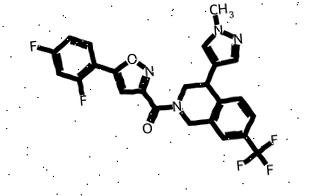 Cn1cc(C2CN(C(=O)c3cc(-c4ccc(F)cc4F)on3)Cc3cc(C(F)(F)F)ccc32)cn1